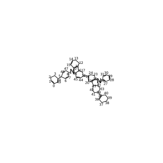 C1=CCCC(C2C=CC(N3C4=C(CCC=C4)C4CC(C5=CC6=C(CC5)N(c5ccccc5)C5CC(C7=CCCCC7)CCC65)C=CC43)CC2)=C1